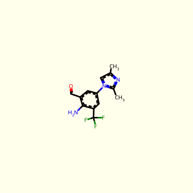 Cc1cn(-c2cc(C=O)c(N)c(C(F)(F)F)c2)c(C)n1